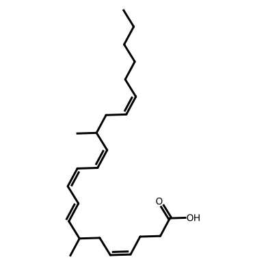 CCCCC/C=C\CC(C)\C=C/C=C\C=C\C(C)C/C=C\CCC(=O)O